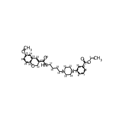 CCOC(=O)c1cccc(N2CCN(CCCCNC(=O)C3=Cc4cc(OC)ccc4OC3)CC2)c1